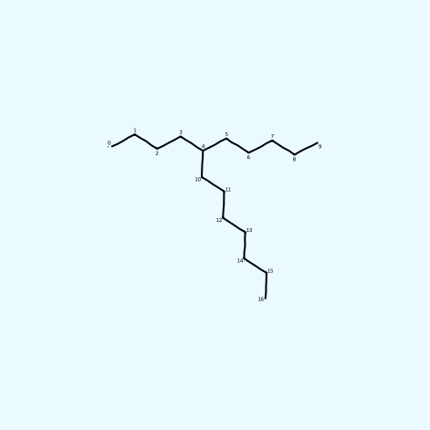 [CH2]CCCC(CCCCC)CCCCCCC